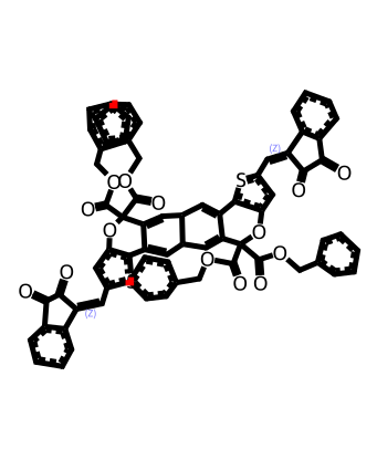 O=C1C(=O)c2ccccc2/C1=C/c1cc2c(s1)C1=CC3C=C4C(=CC3C=C1C(C(=O)OCc1ccccc1)(C(=O)OCc1ccccc1)O2)c1sc(/C=C2\C(=O)C(=O)c3ccccc32)cc1OC4(C(=O)OCc1ccccc1)C(=O)OCc1ccccc1